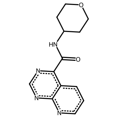 O=C(NC1CCOCC1)c1ncnc2ncccc12